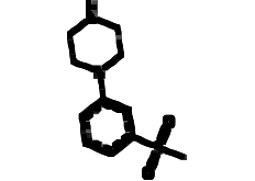 CS(=O)(=O)c1cccc(N2CCNCC2)c1